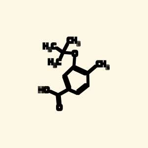 Cc1ccc(C(=O)O)cc1OC(C)(C)C